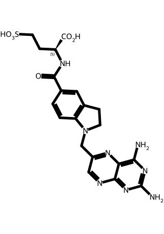 Nc1nc(N)c2nc(CN3CCc4cc(C(=O)N[C@@H](CCS(=O)(=O)O)C(=O)O)ccc43)cnc2n1